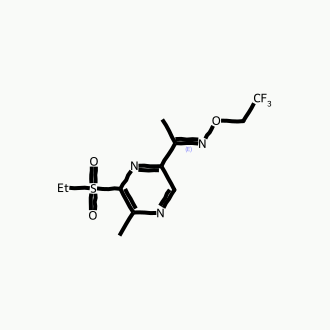 CCS(=O)(=O)c1nc(/C(C)=N/OCC(F)(F)F)cnc1C